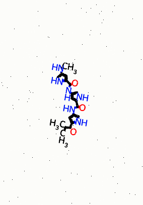 CNc1c[nH]c(C(=O)Nc2c[nH]c(C(=O)Nc3c[nH]c(C(=O)C(C)C)c3)c2)c1